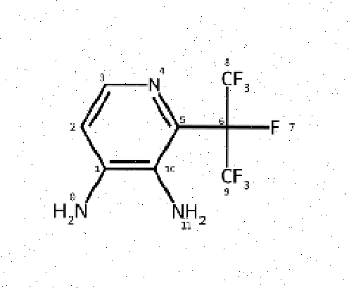 Nc1ccnc(C(F)(C(F)(F)F)C(F)(F)F)c1N